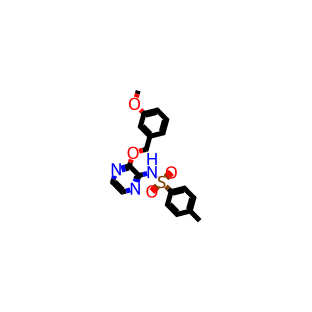 COc1cccc(COc2nccnc2NS(=O)(=O)c2ccc(C)cc2)c1